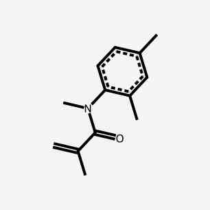 C=C(C)C(=O)N(C)c1ccc(C)cc1C